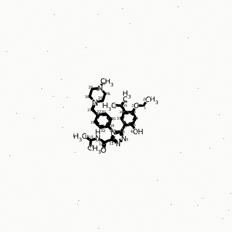 CCOc1cc(O)c(-c2nnc(C(=O)NC(C)C)n2-c2ccc(CN3CCN(C)CC3)cc2)cc1C(C)C